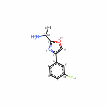 CC[C@H](N)c1nc(-c2cccc(F)c2)co1